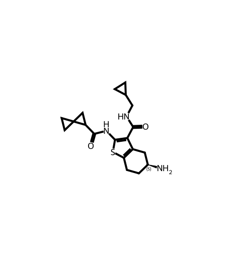 N[C@H]1CCc2sc(NC(=O)C3CC34CC4)c(C(=O)NCC3CC3)c2C1